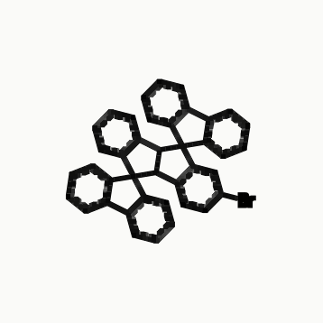 Brc1ccc2c(c1)C1(c3ccccc3-c3ccccc31)C1c3ccccc3C3(c4ccccc4-c4ccccc43)C21